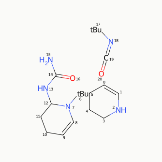 C1=CNCCC1.CC(C)(C)N1C=CCCC1NC(N)=O.CC(C)(C)N=C=O